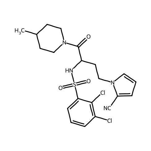 CC1CCN(C(=O)C(CCn2cccc2C#N)NS(=O)(=O)c2cccc(Cl)c2Cl)CC1